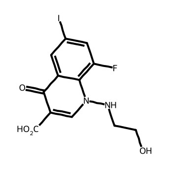 O=C(O)c1cn(NCCO)c2c(F)cc(I)cc2c1=O